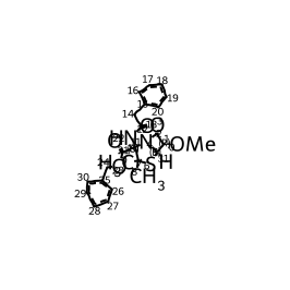 CO[C@@H]1C(=O)N2[C@@H]1SC(C)(C)[C@]2(NC(=O)Cc1ccccc1)C(=O)OCc1ccccc1